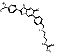 N=C(N)NCCCNCc1ccc(-c2cn3cc(-c4ccc([SH](=O)=O)cc4)[nH]c3nc2=O)cc1